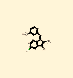 CCC1=C(C)/C(=C/c2cccc(OC)c2)c2ccc(F)cc21